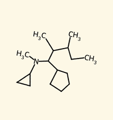 CCC(C)C(C)C(C1CCCC1)N(C)C1CC1